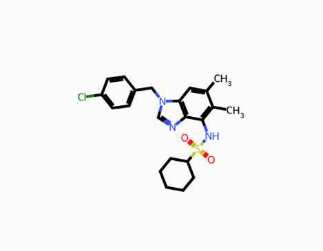 Cc1cc2c(ncn2Cc2ccc(Cl)cc2)c(NS(=O)(=O)C2CCCCC2)c1C